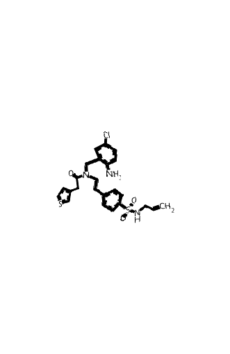 C=CCNS(=O)(=O)c1ccc(CCN(Cc2cc(Cl)ccc2N)C(=O)Cc2ccsc2)cc1